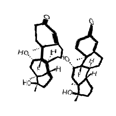 C[C@]1(O)CC[C@H]2[C@@H]3CCC4=CC(=O)CC[C@]4(C)[C@@]3(F)[C@@H](O)C[C@@]21C.C[C@]1(O)CC[C@H]2[C@@H]3CCC4=CC(=O)CC[C@]4(C)[C@@]3(F)[C@@H](O)C[C@@]21C